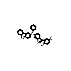 Clc1ccc2oc3sc4cc(N(c5ccccc5)c5ccc6oc7ccccc7c6c5)ccc4c3c2c1